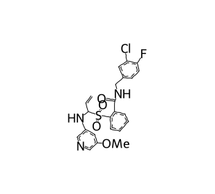 C=CC(Nc1cncc(OC)c1)S(=O)(=O)c1ccccc1C(=O)NCc1ccc(F)c(Cl)c1